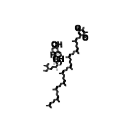 CC(C)=CCCC(C)=CCCC(C)=CCCC(C)=CCCC(C)=CCCC(C)=CCCC(C)=CCCC(C)=CCCC(C)=CCC1=CC(=O)C(C)=C(C)C1=O.CC[C@H](CC[C@@H](C)[C@H]1CC[C@H]2[C@@H]3CC=C4C[C@@H](O)CC[C@]4(C)[C@H]3CC[C@]12C)C(C)C